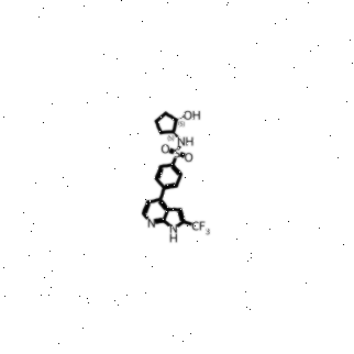 O=S(=O)(N[C@H]1CCC[C@@H]1O)c1ccc(-c2ccnc3[nH]c(C(F)(F)F)cc23)cc1